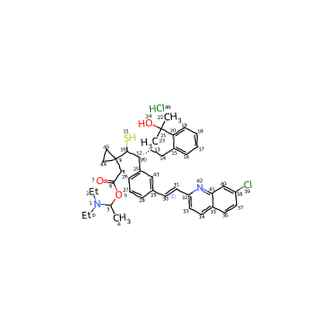 CCN(CC)C(C)OC(=O)CC1(C(S)[C@H](CCc2ccccc2C(C)(C)O)c2cccc(/C=C/c3ccc4ccc(Cl)cc4n3)c2)CC1.Cl